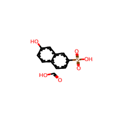 O=CO.O=S(=O)(O)c1ccc2ccc(O)cc2c1